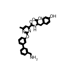 Cc1cc(C(=O)NC(Cc2ccc(O)cc2)C(=O)O)nc(Oc2cccc(-c3cccc(CN)c3)c2)n1